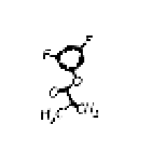 C=C(C)C(=O)Oc1cc(F)cc(F)c1